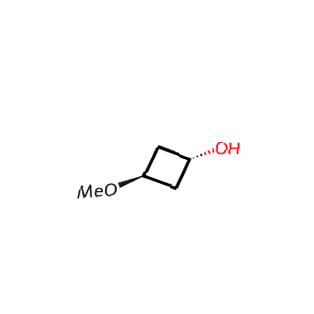 CO[C@H]1C[C@H](O)C1